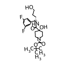 CC(C)(C)OC(=O)N1CCC(O)(C(=O)N[C@@H](CCCO)c2cc(F)cc(F)c2)CC1